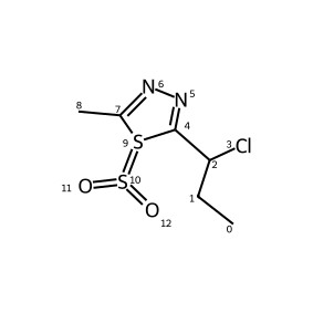 CCC(Cl)C1=NN=C(C)S1=S(=O)=O